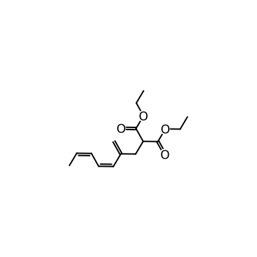 C=C(/C=C\C=C/C)CC(C(=O)OCC)C(=O)OCC